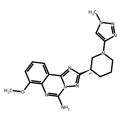 COc1cccc2c1nc(N)n1nc([C@@H]3CCCN(c4cn(C)nn4)C3)nc21